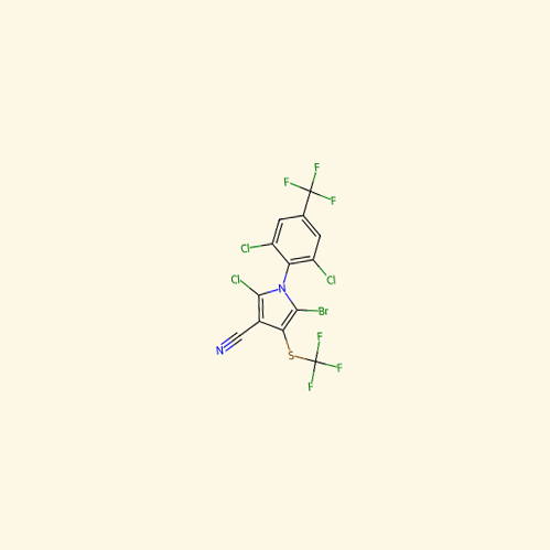 N#Cc1c(SC(F)(F)F)c(Br)n(-c2c(Cl)cc(C(F)(F)F)cc2Cl)c1Cl